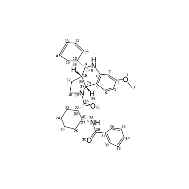 COc1ccc2c(c1)N[C@@H](C1C=CC=CC1)[C@H]1CCN(C(=O)[C@H]3CCCC[C@H]3NC(=O)c3ccccc3)[C@@H]21